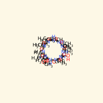 C/C=C/C[C@@H](C)[C@@H](OC(C)=O)[C@H]1C(=O)N[C@@H](CC)C(=O)N(C)[C@H](C)C(=O)N[C@@H]([C@H](C)CCO)C(=O)N[C@@H](C(C)C)C(=O)N(C)[C@@H](CC(C)C)C(=O)N[C@@H](C)C(=O)N[C@H](C)C(=O)N(C)[C@@H](CC(C)C)C(=O)N(C)[C@@H](CC(C)C)C(=O)N(C)[C@@H](C(C)C)C(=O)N1C